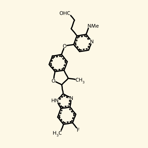 CNc1nccc(Oc2ccc3c(c2)C(C)C(c2nc4cc(F)c(C)cc4[nH]2)O3)c1CCC=O